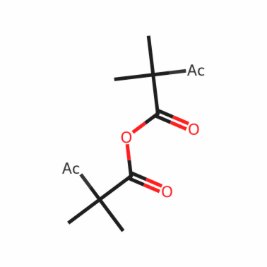 CC(=O)C(C)(C)C(=O)OC(=O)C(C)(C)C(C)=O